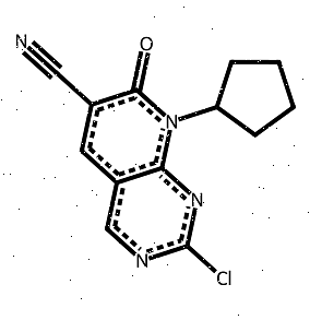 N#Cc1cc2cnc(Cl)nc2n(C2CCCC2)c1=O